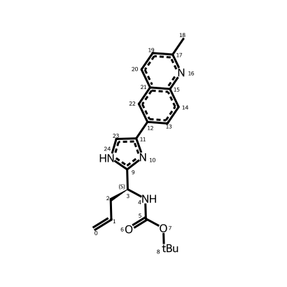 C=CC[C@H](NC(=O)OC(C)(C)C)c1nc(-c2ccc3nc(C)ccc3c2)c[nH]1